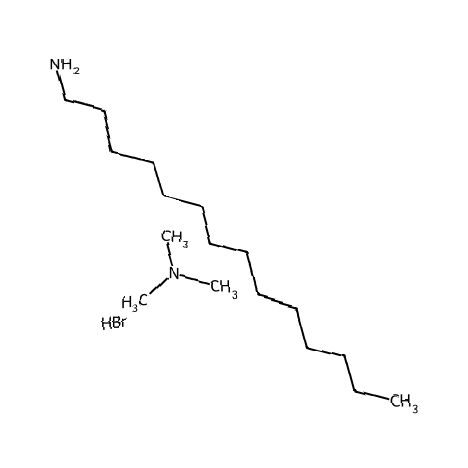 Br.CCCCCCCCCCCCCCN.CN(C)C